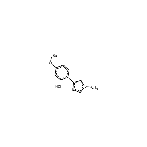 CCCCOc1ccc(-c2cn(C)cn2)cc1.Cl